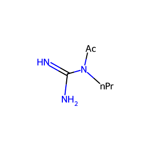 [CH2]CCN(C(=N)N)C(C)=O